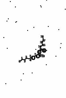 CCCCCCOCOC(C)OC([O])CCCCC